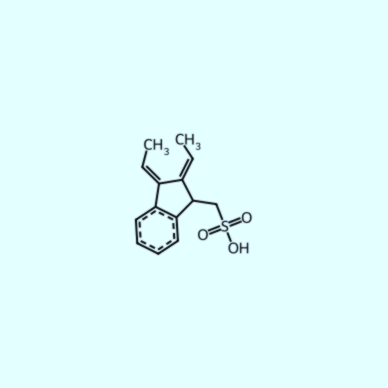 C/C=C1\C(=C/C)c2ccccc2C1CS(=O)(=O)O